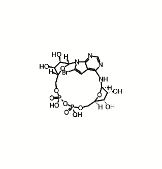 O=P1(O)OC[C@H]2O[C@@H](Nc3ncnc4c3cc(Br)n4[C@@H]3O[C@H](COP(=O)(O)O1)[C@@H](O)[C@H]3O)[C@H](O)[C@@H]2O